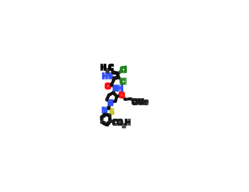 COCCOC1CN(c2nc3cccc(C(=O)O)c3s2)CCC1NC(=O)c1[nH]c(C)c(Cl)c1Cl